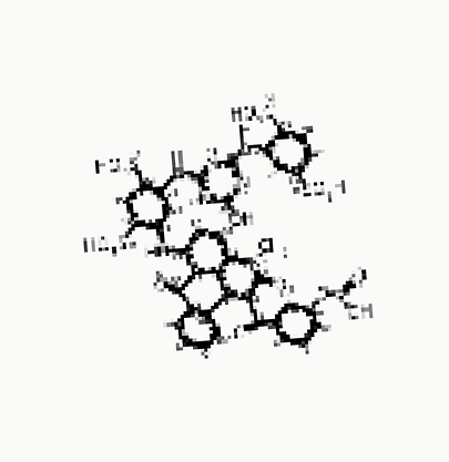 Cn1c(=O)c(C(=O)c2cccc(OS(=O)O)c2)c2c3c(c(Nc4cc(Nc5nc(O)nc(Nc6cc(S(=O)(=O)O)ccc6C(=O)O)n5)c(S(=O)(=O)O)cc4S(=O)(=O)O)ccc31)C(=O)c1ccccc1-2